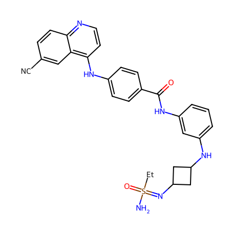 CCS(N)(=O)=NC1CC(Nc2cccc(NC(=O)c3ccc(Nc4ccnc5ccc(C#N)cc45)cc3)c2)C1